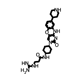 N=C(N)NCCC(=O)N[C@H]1CC[C@H](n2cc3c(nc2=O)Nc2cc(C4CCNCC4)ccc2O3)CC1